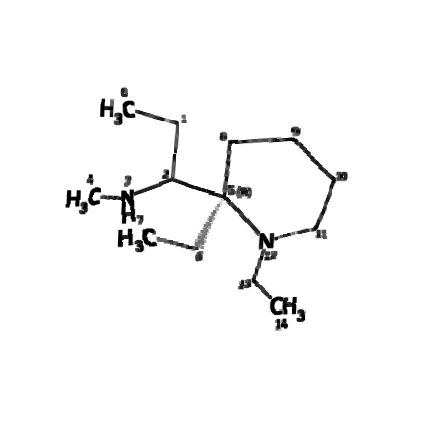 CCC(NC)[C@@]1(CC)CCCCN1CC